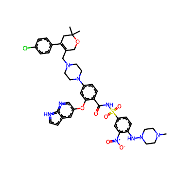 CN1CCN(Nc2ccc(S(=O)(=O)NC(=O)c3ccc(N4CCN(CC5=C(c6ccc(Cl)cc6)CC(C)(C)OC5)CC4)cc3Oc3cnc4[nH]ccc4c3)cc2[N+](=O)[O-])CC1